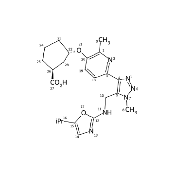 Cc1nc(-c2nnn(C)c2CNc2ncc(C(C)C)o2)ccc1O[C@H]1CCC[C@H](C(=O)O)C1